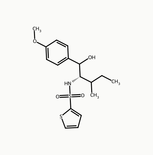 CCC(C)[C@H](NS(=O)(=O)c1cccs1)C(O)c1ccc(OC)cc1